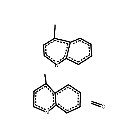 C=O.Cc1ccnc2ccccc12.Cc1ccnc2ccccc12